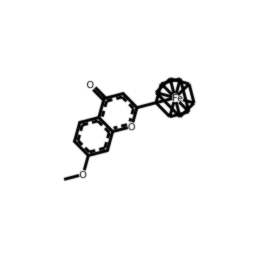 COc1ccc2c(=O)cc([C]34[CH]5[CH]6[CH]7[CH]3[Fe]6754389%10[CH]4[CH]3[CH]8[CH]9[CH]4%10)oc2c1